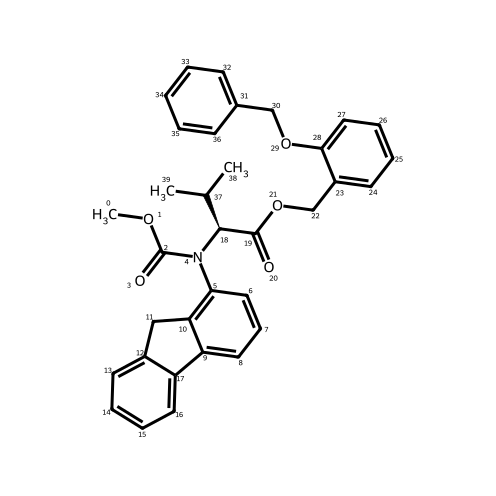 COC(=O)N(c1cccc2c1Cc1ccccc1-2)[C@H](C(=O)OCc1ccccc1OCc1ccccc1)C(C)C